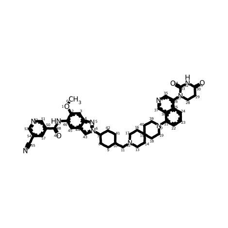 COc1cc2nn(C3CCC(CN4CCC5(CC4)CCN(c4cccc6c(N7CCC(=O)NC7=O)cncc46)CC5)CC3)cc2cc1NC(=O)c1cncc(C#N)c1